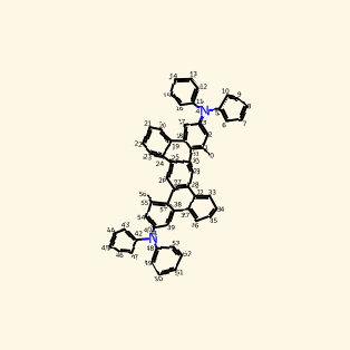 Cc1cc(N(c2ccccc2)c2ccccc2)cc2c3ccccc3c3cc4c(cc3c12)c1ccccc1c1cc(N(c2ccccc2)c2ccccc2)cc(C)c14